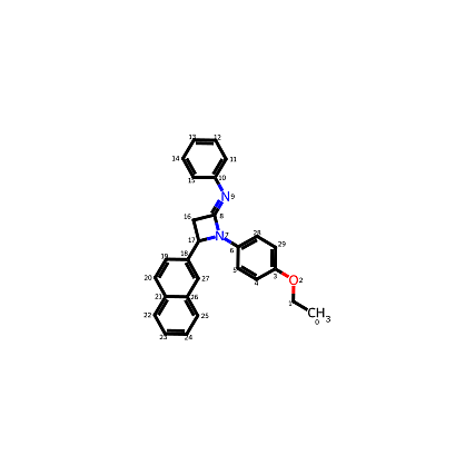 CCOc1ccc(N2/C(=N/c3ccccc3)CC2c2ccc3ccccc3c2)cc1